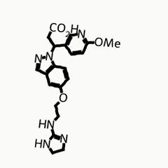 COc1ccc(C(CC(=O)O)n2ncc3cc(OCCNC4=NCCN4)ccc32)cn1